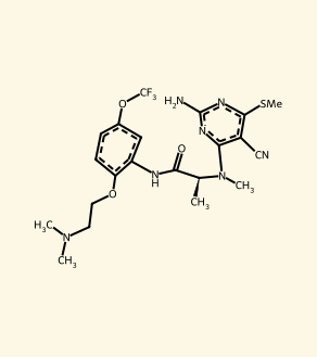 CSc1nc(N)nc(N(C)[C@@H](C)C(=O)Nc2cc(OC(F)(F)F)ccc2OCCN(C)C)c1C#N